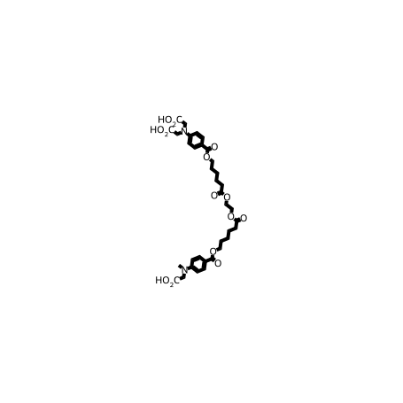 CN(CC(=O)O)c1ccc(C(=O)OCCCCCC(=O)OCCOC(=O)CCCCCOC(=O)c2ccc(N(CC(=O)O)CC(=O)O)cc2)cc1